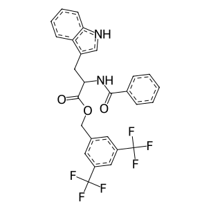 O=C(NC(Cc1c[nH]c2ccccc12)C(=O)OCc1cc(C(F)(F)F)cc(C(F)(F)F)c1)c1ccccc1